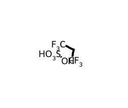 FC(F)(F)CC(F)(F)F.O=S(=O)(O)O